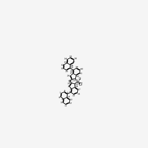 CC1=Cc2c(-c3cccc4ccccc34)cccc2C1[Si](C)(Cl)C1C(C)=Cc2c(-c3cccc4ccccc34)cccc21